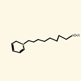 CCCCCCCCCCCCCCCCN1C=CC=CC1